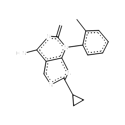 Cc1ccccc1-n1c(=O)nc(N)c2cnc(C3CC3)nc21